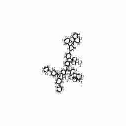 CC1(C)c2cc(-c3ccc4c(c3)c3ccccc3n4-c3cccc4ccccc34)ccc2-c2ccc(N(C3=CC4C(C=C3)c3ccccc3C4(C)C)c3ccc(N(c4ccc(-c5ccccc5)cc4)c4ccc(-c5ccccc5)cc4)cc3)cc21